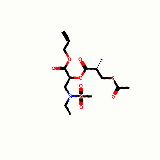 C=CCOC(=O)C(CN(CC)S(C)(=O)=O)OC(=O)[C@H](C)CSC(C)=O